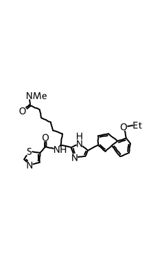 CCOc1cccc2cc(-c3cnc(C(CCCCCC(=O)NC)NC(=O)c4cncs4)[nH]3)ccc12